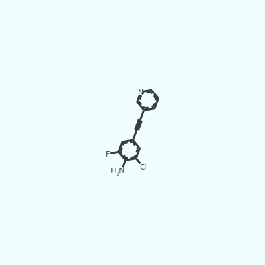 Nc1c(F)cc(C#Cc2cccnc2)cc1Cl